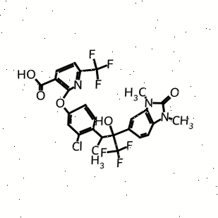 CC(c1ccc(Oc2nc(C(F)(F)F)ccc2C(=O)O)cc1Cl)C(O)(c1ccc2c(c1)n(C)c(=O)n2C)C(F)(F)F